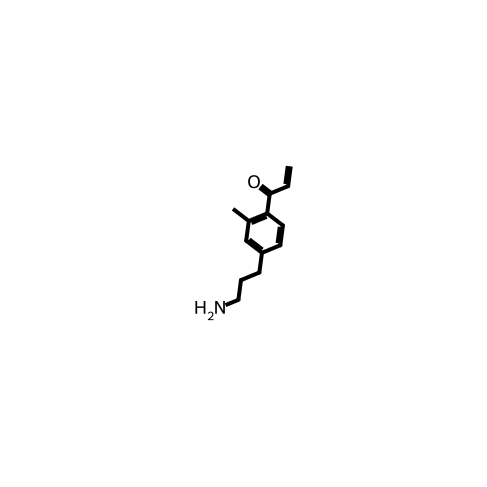 C=CC(=O)c1ccc(CCCN)cc1C